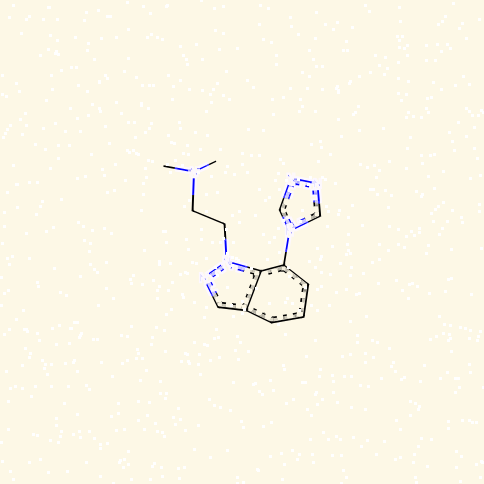 CN(C)CCn1ncc2cccc(-n3cnnc3)c21